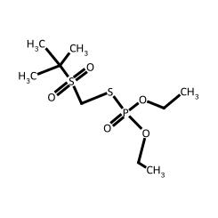 CCOP(=O)(OCC)SCS(=O)(=O)C(C)(C)C